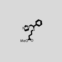 COC(=O)CCCSC(Cn1ccnc1)c1ccccc1